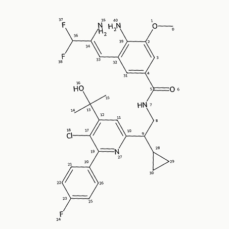 COc1cc(C(=O)NCC(c2cc(C(C)(C)O)c(Cl)c(-c3ccc(F)cc3)n2)C2CC2)cc(/C=C(\N)C(F)F)c1N